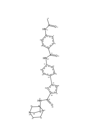 CC(=O)Nc1ccc(C(=O)Nc2ccc(-c3ccc(C(=O)NC4CN5CCC4CC5)o3)cc2)cc1